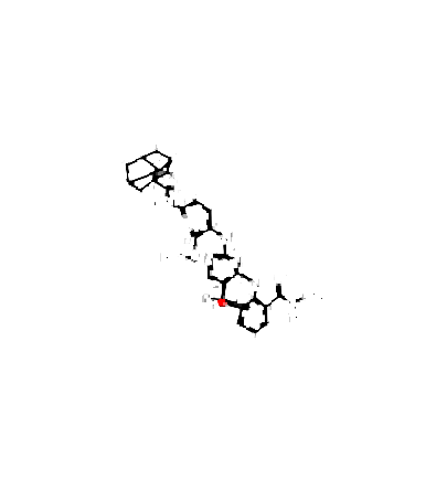 CNC(=O)c1cccc(C)c1Nc1nc(Nc2ccc(NC(=O)C34CC5CC(CC(C5)C3O)C4)cc2OC)ncc1C(F)(F)F